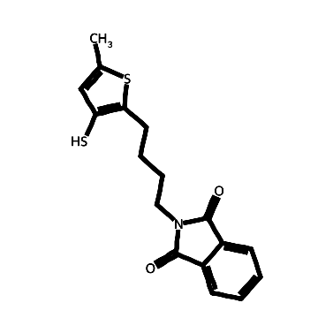 Cc1cc(S)c(CCCCN2C(=O)c3ccccc3C2=O)s1